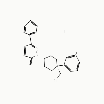 Cl.NC[C@]1(c2cccc(Cl)c2)CC[C@@H](n2nc(-c3ccccc3)ccc2=O)CC1